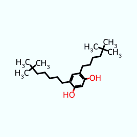 CC(C)(C)CCCCCc1cc(CCCCC(C)(C)C)c(O)cc1O